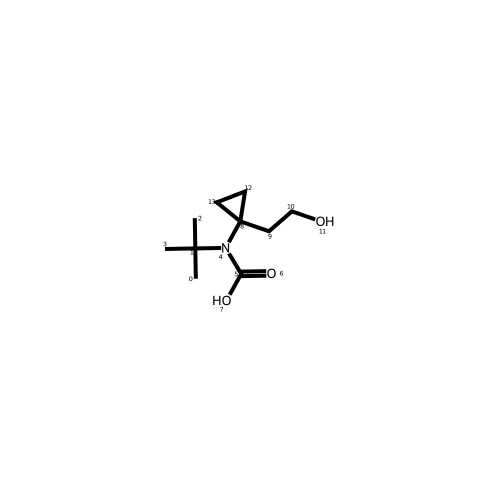 CC(C)(C)N(C(=O)O)C1(CCO)CC1